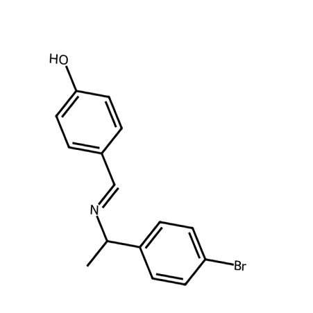 CC(N=Cc1ccc(O)cc1)c1ccc(Br)cc1